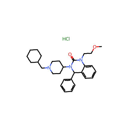 COCCN1C(=O)N(C2CCN(CC3CCCCC3)CC2)C(c2ccccc2)c2ccccc21.Cl